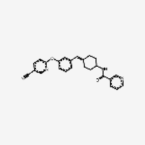 N#Cc1ccc(Oc2cccc(C=C3CCC(NC(=O)c4cccnc4)CC3)c2)nc1